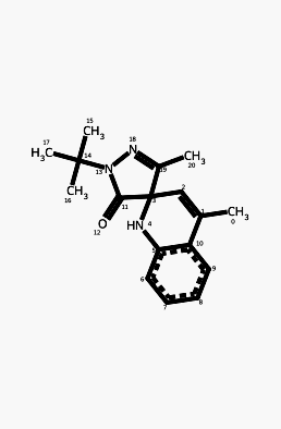 CC1=CC2(Nc3ccccc31)C(=O)N(C(C)(C)C)N=C2C